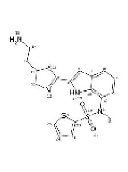 CN(c1cccc2cc(C3=NCC(CCN)S3)[nH]c12)S(=O)(=O)c1cccs1